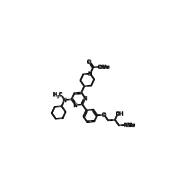 CNCC(O)COc1cccc(-c2nc(C3CCN(C(=O)OC)CC3)cc(N(C)C3CCCCC3)n2)c1